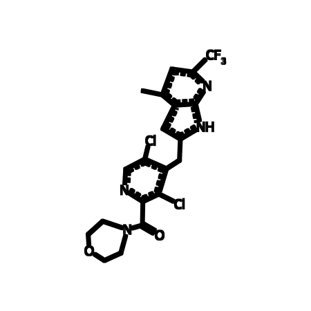 Cc1cc(C(F)(F)F)nc2[nH]c(Cc3c(Cl)cnc(C(=O)N4CCOCC4)c3Cl)cc12